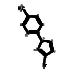 FC(F)(F)c1ccc(-n2ccc(Br)n2)nc1